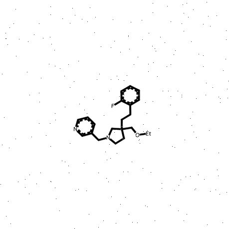 CCOCC1(CCc2ccccc2F)CCN(Cc2cccnc2)C1